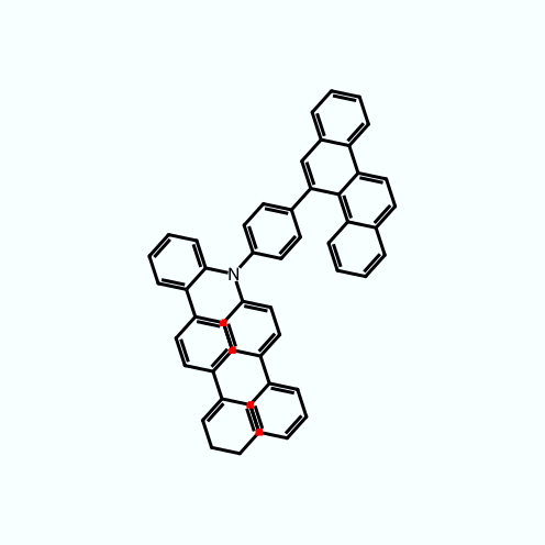 C1=CC(c2ccc(-c3ccccc3N(c3ccc(-c4ccccc4)cc3)c3ccc(-c4cc5ccccc5c5ccc6ccccc6c45)cc3)cc2)=CCC1